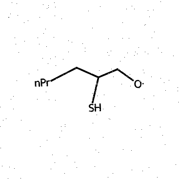 CCCCC(S)C[O]